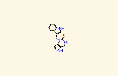 S=C1NCc2[nH]ccc2N1Cc1c[nH]c2ccccc12